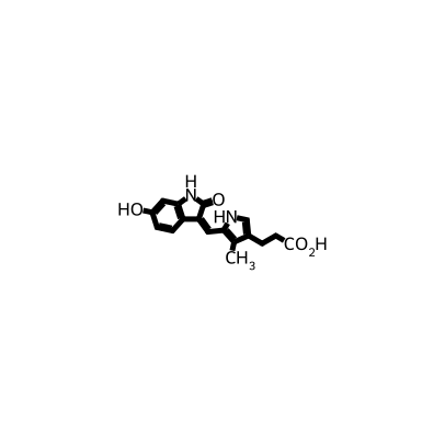 Cc1c(CCC(=O)O)c[nH]c1/C=C1\C(=O)Nc2cc(O)ccc21